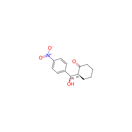 O=C1CCCC[C@H]1[C@@H](O)c1ccc([N+](=O)[O-])cc1